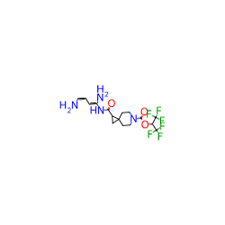 N/C=C\C=C(/N)NC(=O)C1CC12CCN(C(=O)OC(C(F)(F)F)C(F)(F)F)CC2